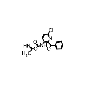 CC(=N)OC(=O)Nc1ccc(Cl)nc1C(=O)c1ccccc1